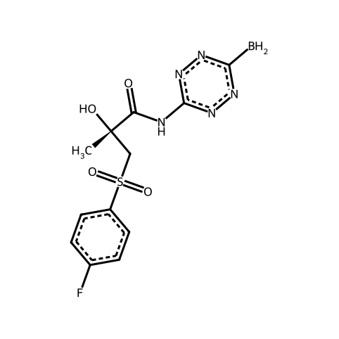 Bc1nnc(NC(=O)[C@@](C)(O)CS(=O)(=O)c2ccc(F)cc2)nn1